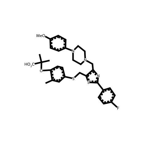 COc1ccc(N2CCN(Cc3nc(-c4ccc(F)cc4)sc3CSc3ccc(OC(C)(C)C(=O)O)c(C)c3)CC2)cc1